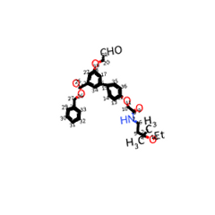 CCOC(C)(C)CCNC(=O)COc1ccc(-c2cc(OCC=O)cc(C(=O)OCc3ccccc3)c2)cc1